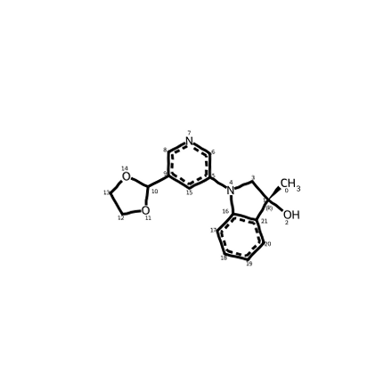 C[C@]1(O)CN(c2cncc(C3OCCO3)c2)c2ccccc21